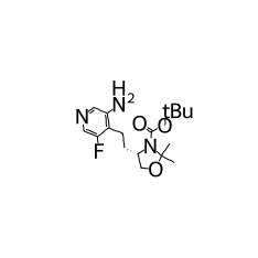 CC(C)(C)OC(=O)N1[C@@H](CCc2c(N)cncc2F)COC1(C)C